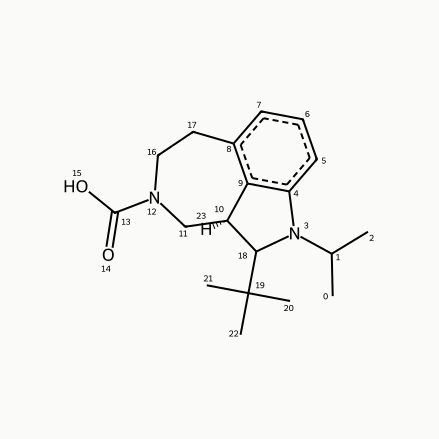 CC(C)N1c2cccc3c2[C@H](CN(C(=O)O)CC3)C1C(C)(C)C